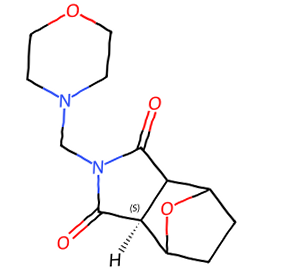 O=C1C2C3CCC(O3)[C@H]2C(=O)N1CN1CCOCC1